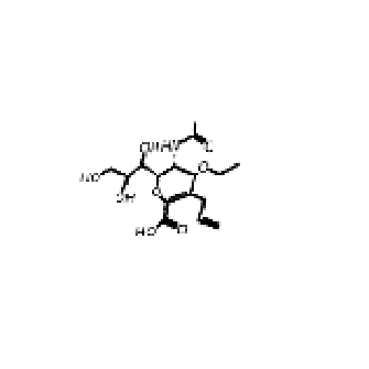 C=CCC1=C(C(=O)O)O[C@@H](C(O)C(O)CO)[C@H](NC(C)=O)[C@H]1OCC